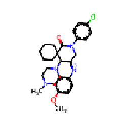 COc1ccc(/N=C2/CN(c3ccc(Cl)cc3)C(=O)C3(CCCCC3)C2N2CCN(C)CC2)cc1